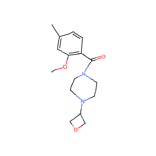 COc1cc(C)ccc1C(=O)N1CCN(C2COC2)CC1